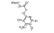 CCCC(C)OC(=O)COc1nc(F)c(Cl)c(N)c1Cl